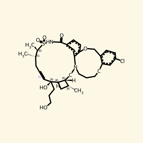 C[C@@H]1C[C@@H]2[C@@H]1CN1CCCCc3cc(Cl)ccc3COc3ccc(cc31)C(=O)NS(=O)(=O)[C@H](C)[C@@H](C)C/C=C/[C@@]2(O)CCCO